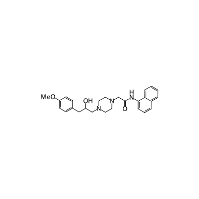 COc1ccc(CC(O)CN2CCN(CC(=O)Nc3cccc4ccccc34)CC2)cc1